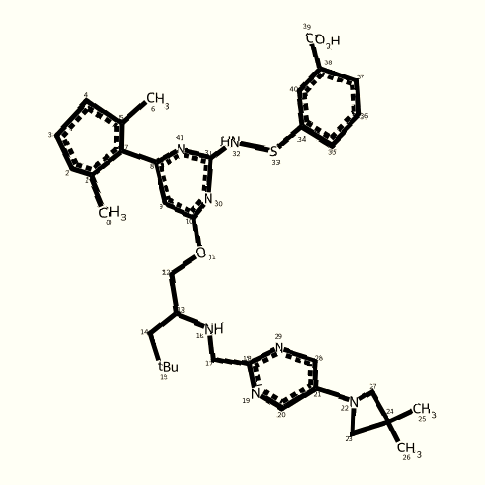 Cc1cccc(C)c1-c1cc(OCC(CC(C)(C)C)NCc2ncc(N3CC(C)(C)C3)cn2)nc(NSc2cccc(C(=O)O)c2)n1